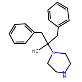 N#CC(Cc1ccccc1)(Cc1ccccc1)N1CCNCC1